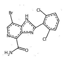 NC(=O)c1ncc(Br)c2[nH]c(-c3c(Cl)cccc3Cl)nc12